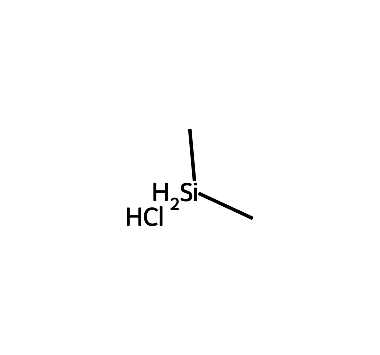 C[SiH2]C.Cl